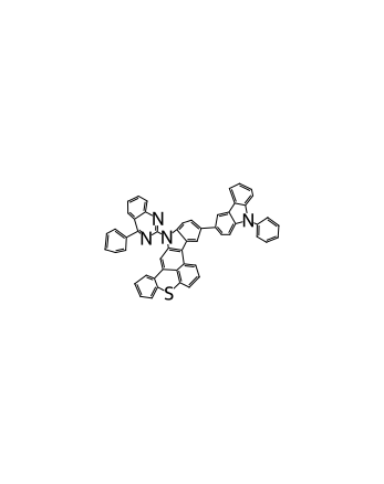 c1ccc(-c2nc(-n3c4ccc(-c5ccc6c(c5)c5ccccc5n6-c5ccccc5)cc4c4c5cccc6c5c(cc43)-c3ccccc3S6)nc3ccccc23)cc1